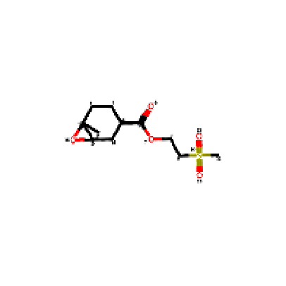 CC12CCC(C(=O)OCCS(C)(=O)=O)CC1O2